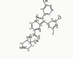 Cc1cc(-c2c(-c3cccc(C#N)c3)nn3ccc(C(=O)NC4(C#N)CCNCC4)nc23)cc(Cl)n1